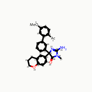 COc1ccc(C(C)=O)c(-c2cccc(C3(c4ccc5c(c4)CCCO5)N=C(N)N(C)C3=O)c2)c1